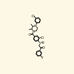 CC1C(C)N(c2cccc(Cl)c2)CCN1C(=O)c1ccc([S+]([O-])CC(=O)c2cccc(F)c2)c(Cl)c1